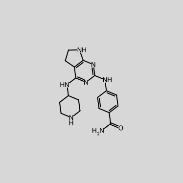 NC(=O)c1ccc(Nc2nc3c(c(NC4CCNCC4)n2)CCN3)cc1